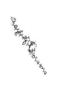 COCCOCCOCCOCCN/C=C(\N)CCC(=O)NCCCNC(=O)CCOCC(C)C